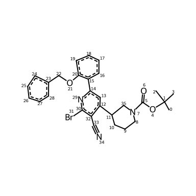 CC(C)(C)OC(=O)N1CCCC(c2cc(-c3ccccc3OCc3ccccc3)nc(Br)c2C#N)C1